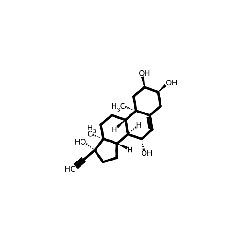 C#C[C@]1(O)CC[C@H]2[C@@H]3[C@@H](O)C=C4C[C@H](O)[C@H](O)C[C@]4(C)[C@H]3CC[C@@]21C